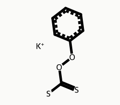 S=C([S-])OOc1ccccc1.[K+]